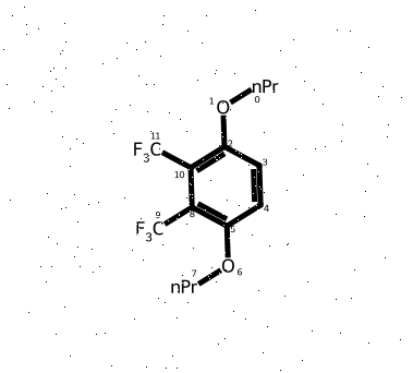 CCCOc1ccc(OCCC)c(C(F)(F)F)c1C(F)(F)F